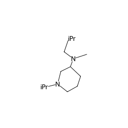 CC(C)CN(C)C1CCCN(C(C)C)C1